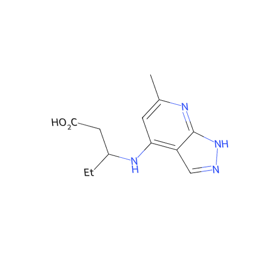 CCC(CC(=O)O)Nc1cc(C)nc2[nH]ncc12